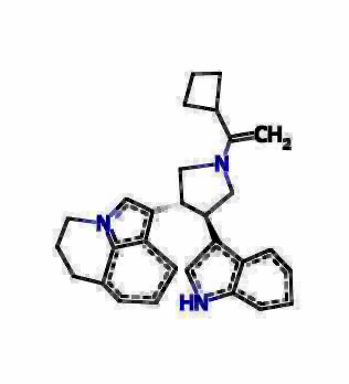 C=C(C1CCC1)N1C[C@@H](c2c[nH]c3ccccc23)[C@H](c2cn3c4c(cccc24)CCC3)C1